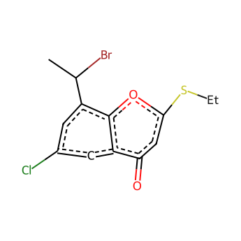 CCSc1cc(=O)c2cc(Cl)cc(C(C)Br)c2o1